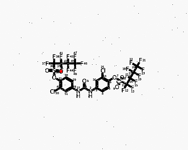 O=C(Nc1ccc(OS(=O)(=O)C(F)(F)C(F)(F)C(F)(F)C(F)(F)F)c(Cl)c1)Nc1ccc(OS(=O)(=O)C(F)(F)C(F)(F)C(F)(F)C(F)(F)F)c(Cl)c1